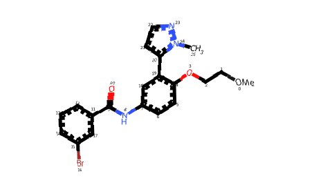 COCCOc1ccc(NC(=O)c2cccc(Br)c2)cc1-c1ccnn1C